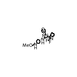 COCCN[C@H]1CC[C@H](CNc2cc(-n3c(C(F)F)nc4ccccc43)nc(N3CCOCC3)n2)CC1